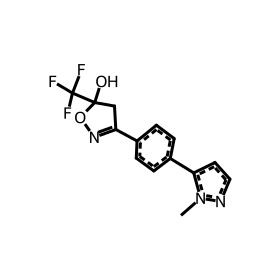 Cn1nccc1-c1ccc(C2=NOC(O)(C(F)(F)F)C2)cc1